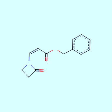 O=C(/C=C\N1CCC1=O)OCc1ccccc1